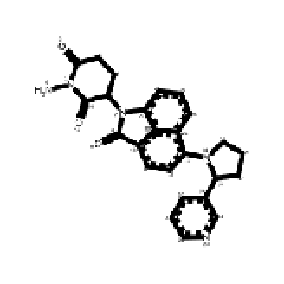 NN1C(=O)CCC(N2C(=O)c3ccc(N4CCCC4c4cccnc4)c4cccc2c34)C1=O